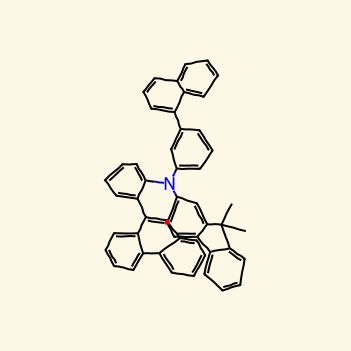 CC1(C)c2ccccc2-c2ccc(N(c3cccc(-c4cccc5ccccc45)c3)c3ccccc3-c3cc4ccccc4c4ccccc34)cc21